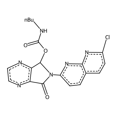 CCCCNC(=O)OC1c2nccnc2C(=O)N1c1ccc2ccc(Cl)nc2n1